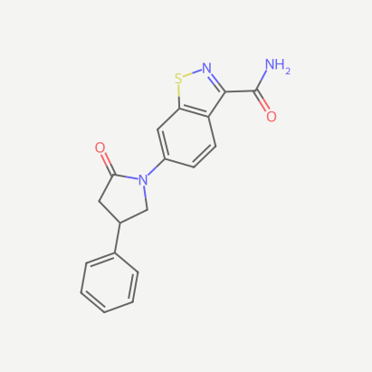 NC(=O)c1nsc2cc(N3CC(c4ccccc4)CC3=O)ccc12